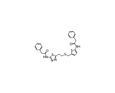 O=C(Cc1ccccc1)Nc1ccc(CSCCc2nnc(NC(=O)Cc3ccccc3)s2)s1